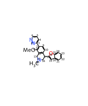 COc1c(-c2cccnn2)ccc2c1CN(C)CC2c1cc2ccccc2o1